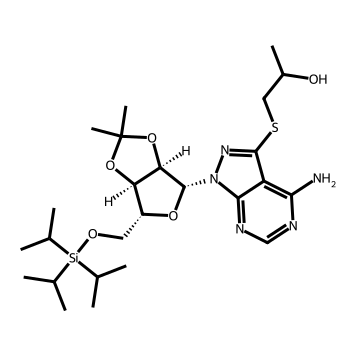 CC(O)CSc1nn([C@@H]2O[C@H](CO[Si](C(C)C)(C(C)C)C(C)C)[C@H]3OC(C)(C)O[C@H]32)c2ncnc(N)c12